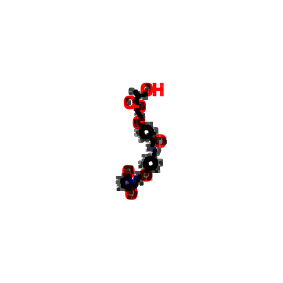 C=C(CO)C(=O)OCCOc1ccc(C(=O)/C=C/c2ccc(OCCN3C(=O)C=CC3=O)cc2)cc1